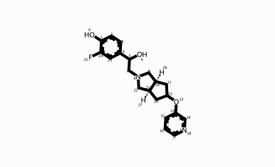 Oc1ccc(C(O)CN2C[C@H]3CC(Oc4cccnc4)C[C@H]3C2)cc1F